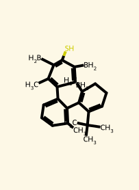 Bc1c(B)c(-c2cccc(C)c2C2=C(C)CCC=C2C(C)(C)C)c(C)c(B)c1S